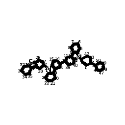 C1=CC(n2c3ccccc3c3cc(-c4ccc5c(c4)c4ccccc4n5-c4ccc5sc6ccccc6c5c4)ccc32)CC=C1c1ccccc1